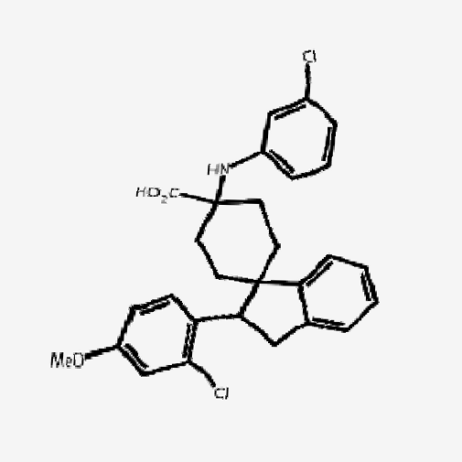 COc1ccc(C2Cc3ccccc3C23CCC(Nc2cccc(Cl)c2)(C(=O)O)CC3)c(Cl)c1